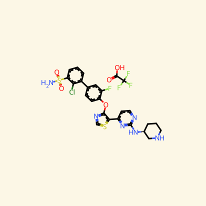 NS(=O)(=O)c1cccc(-c2ccc(Oc3ncsc3-c3ccnc(N[C@H]4CCCNC4)n3)c(F)c2)c1Cl.O=C(O)C(F)(F)F